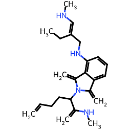 C=CCCC(C(=C)NC)n1c(=C)c2cccc(NC/C(=C/NC)CC)c2c1=C